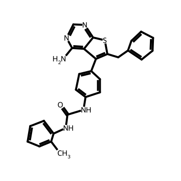 Cc1ccccc1NC(=O)Nc1ccc(-c2c(Cc3ccccc3)sc3ncnc(N)c23)cc1